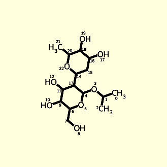 CC(C)OC1OC(CO)C(O)C(O)C1C1CC(O)C(O)C(C)O1